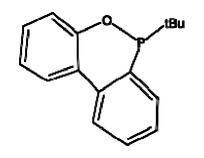 CC(C)(C)P1Oc2ccccc2-c2ccccc21